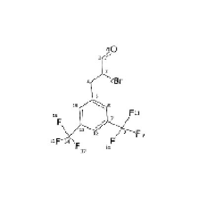 O=CC(Br)Cc1cc(C(F)(F)F)cc(C(F)(F)F)c1